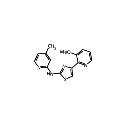 COc1cccnc1-c1csc(Nc2cc(C)ccn2)n1